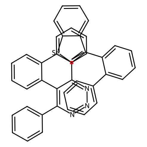 c1ccc(-c2ccccc2-c2c(-c3ccccc3)nnnc2-c2[se]c3ccccc3c2-c2ccccc2-c2ccccc2)cc1